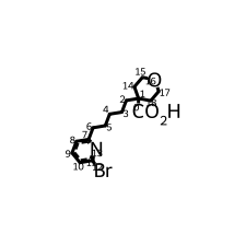 O=C(O)C1(CCCCCc2cccc(Br)n2)CCOCC1